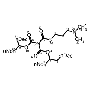 CCCCCCCCCCCC(CCCCCCCCC)OC(=O)N(C(=O)OC(CCCCCCCCC)CCCCCCCCCC)C(=O)SCCCN(C)C